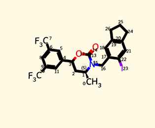 C[C@H]1CC(c2cc(C(F)(F)F)cc(C(F)(F)F)c2)OC(=O)N1Cc1cc2c(cc1I)CCC2